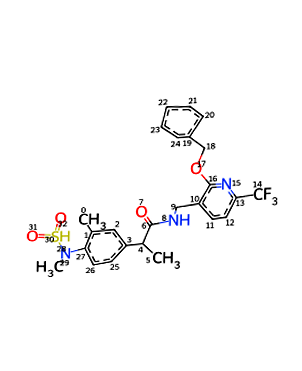 Cc1cc(C(C)C(=O)NCc2ccc(C(F)(F)F)nc2OCc2ccccc2)ccc1N(C)[SH](=O)=O